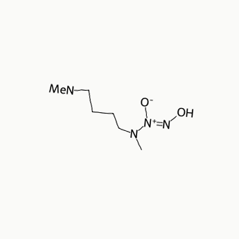 CNCCCCN(C)[N+]([O-])=NO